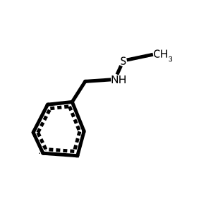 CSNCc1cc[c]cc1